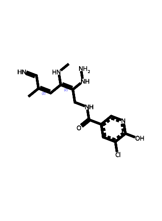 CNC(/C=C(/C)C=N)=C(/CNC(=O)c1cnc(O)c(Cl)c1)NN